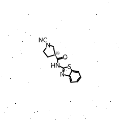 N#CN1CC[C@H](C(=O)Nc2nc3ccccc3s2)C1